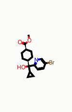 COC(=O)[C@H]1CC[C@@H](C(O)(c2ccc(Br)cn2)C2CC2)CC1